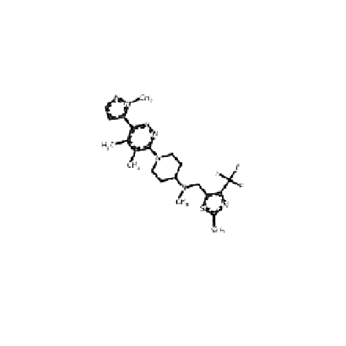 Cc1nc(C(F)(F)F)c(CN(C)C2CCN(c3nnc(-c4ccnn4C)c(C)c3C)CC2)s1